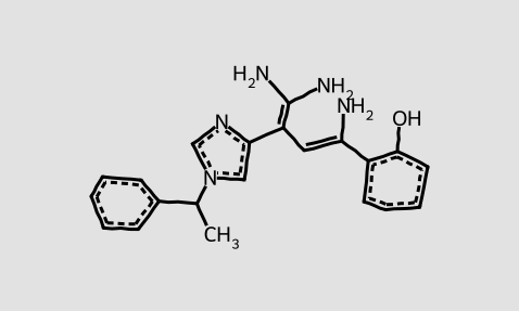 CC(c1ccccc1)n1cnc(C(/C=C(\N)c2ccccc2O)=C(N)N)c1